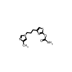 Cc1cn(CCCc2csc(OC(N)=O)n2)cn1